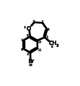 CC1=CCCOc2ccc(Br)cc21